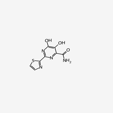 NC(=O)c1nc(-c2nccs2)nc(O)c1O